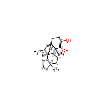 C[C@H]1C=C2CCC(O)=C(O)[C@]2(C)[C@H]2CC[C@]3(C)CCC[C@H]3[C@H]12